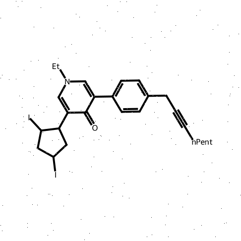 CCCCCC#CCc1ccc(-c2cn(CC)cc(C3CC(I)CC3I)c2=O)cc1